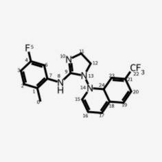 Cc1ccc(F)cc1NC1=NCCN1N1C=CC=C2C=CC(C(F)(F)F)=CC21